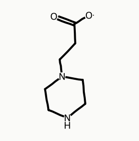 [O]C(=O)CCN1CCNCC1